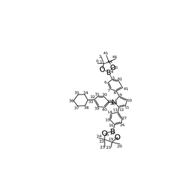 CC1(C)OB(c2ccc(-c3ccc(-c4ccc(B5OC(C)(C)C(C)(C)O5)cc4)n3-c3ccc(C4CCCCC4)cc3)cc2)OC1(C)C